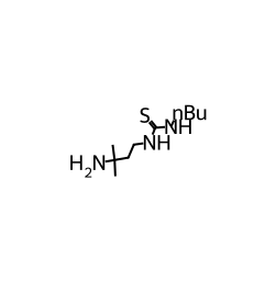 CCCCNC(=S)NCCC(C)(C)N